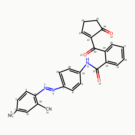 N#Cc1ccc(N=Nc2ccc(NC(=O)c3ccccc3C(=O)C3=CCCC3=O)cc2)c(C#N)c1